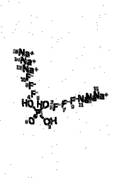 O=P(O)(O)O.[F-].[F-].[F-].[F-].[F-].[F-].[Na+].[Na+].[Na+].[Na+].[Na+].[Na+]